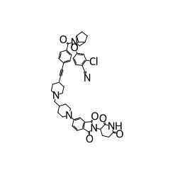 N#Cc1ccc(OC2C3CCC2N(C(=O)c2ccc(C#CC4CCN(CC5CCN(c6ccc7c(c6)C(=O)N(C6CCC(=O)NC6=O)C7=O)CC5)CC4)cc2)C3)cc1Cl